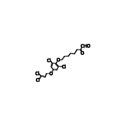 O=CC(=O)CCCCCCOc1c(Cl)cc(OCC=C(Cl)Cl)cc1Cl